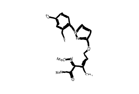 CNC(=O)C(=NOC)C(C)=CCOc1ccn(-c2ccc(Cl)cc2F)n1